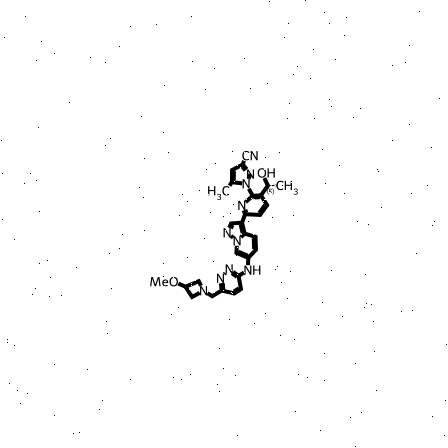 COC1CN(Cc2ccc(Nc3ccc4c(-c5ccc([C@@H](C)O)c(-n6nc(C#N)cc6C)n5)cnn4c3)nn2)C1